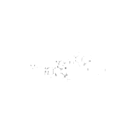 CCOC(=O)C[C@H](c1cccc(OCc2cnc(-c3cc(OC)ncc3F)c(C=C(C)C)n2)c1)C1CC1